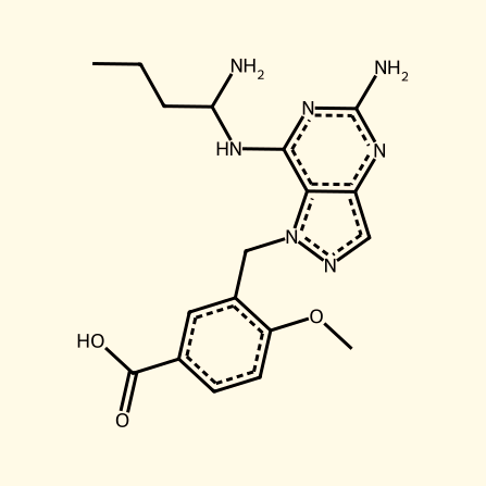 CCCC(N)Nc1nc(N)nc2cnn(Cc3cc(C(=O)O)ccc3OC)c12